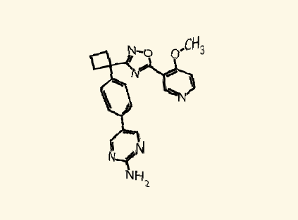 COc1ccncc1-c1nc(C2(c3ccc(-c4cnc(N)nc4)cc3)CCC2)no1